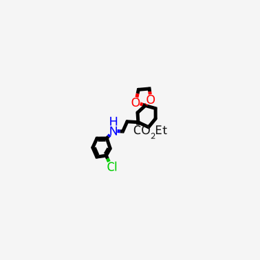 CCOC(=O)C1(CCNc2cccc(Cl)c2)CCCC2(C1)OCCO2